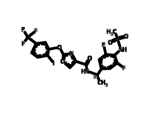 C[C@@H](NC(=O)c1coc(Oc2cc(C(F)(F)F)ccc2I)n1)c1cc(F)c(NS(C)(=O)=O)c(F)c1